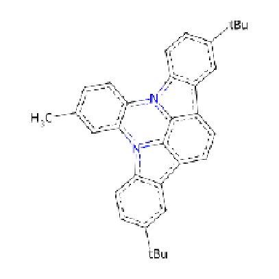 Cc1ccc2c(c1)n1c3ccc(C(C)(C)C)cc3c3ccc4c5cc(C(C)(C)C)ccc5n2c4c31